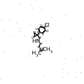 CN(C)CCNCC1(c2ccc(Cl)cc2)CC1